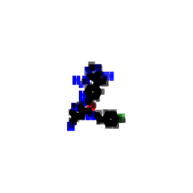 N#Cc1cnc(NCc2ccc(-c3c[nH]c4ncnc(N)c34)cc2)c(C(=O)NCCc2ccc(F)cc2)c1